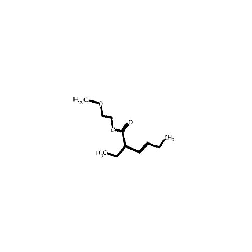 CCCCC(CC)C(=O)OCCOC